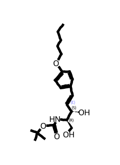 CCCCCOc1ccc(/C=C/[C@H](O)[C@@H](CO)NC(=O)OC(C)(C)C)cc1